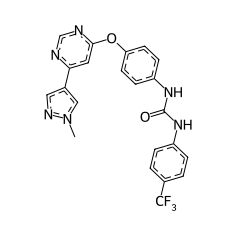 Cn1cc(-c2cc(Oc3ccc(NC(=O)Nc4ccc(C(F)(F)F)cc4)cc3)ncn2)cn1